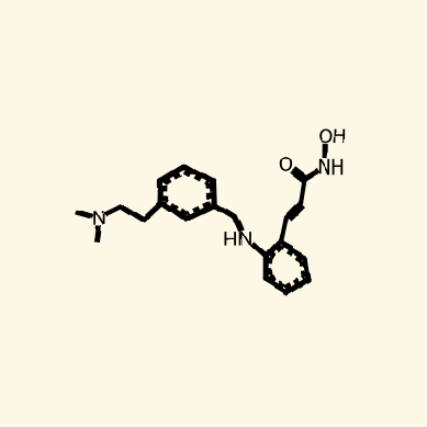 CN(C)CCc1cccc(CNc2ccccc2/C=C/C(=O)NO)c1